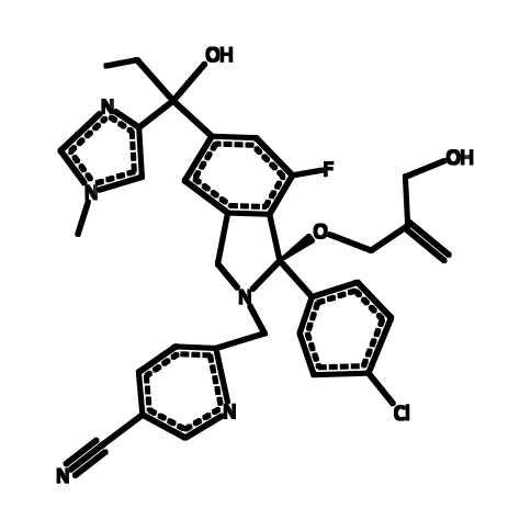 C=C(CO)CO[C@]1(c2ccc(Cl)cc2)c2c(F)cc(C(O)(CC)c3cn(C)cn3)cc2CN1Cc1ccc(C#N)cn1